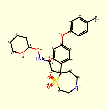 CCc1ccc(Oc2ccc(C3(CC(=O)NOC4CCCCO4)CCNCCS3(=O)=O)cc2)cc1